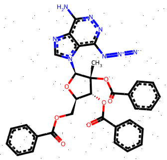 C[C@@]1(OC(=O)c2ccccc2)[C@H](OC(=O)c2ccccc2)[C@@H](COC(=O)c2ccccc2)O[C@H]1n1cnc2c(N)nnc(N=[N+]=[N-])c21